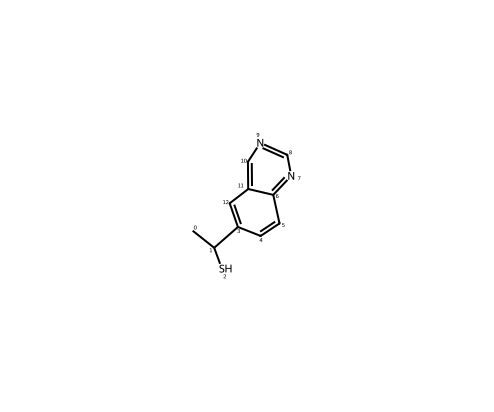 CC(S)c1ccc2ncncc2c1